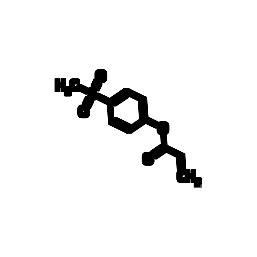 C=CC(=O)Oc1ccc(S(C)(=O)=O)cc1